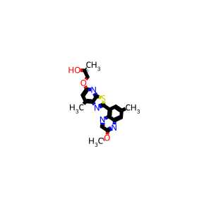 COc1cnc2c(-c3nc4c(C)cc(OC[C@@H](C)O)nc4s3)cc(C)cc2n1